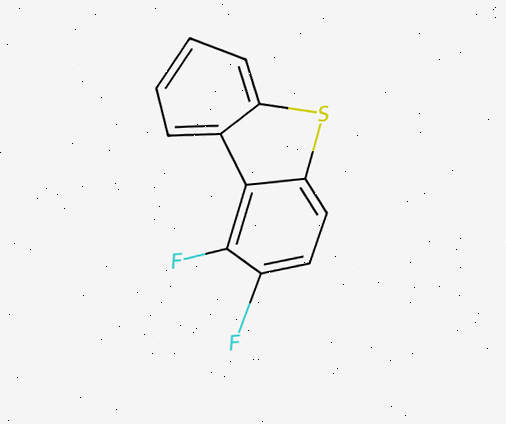 Fc1ccc2sc3ccccc3c2c1F